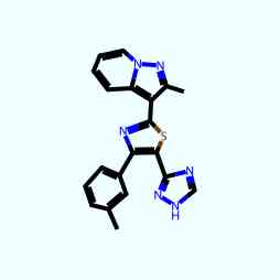 Cc1cccc(-c2nc(-c3c(C)nn4ccccc34)sc2-c2nc[nH]n2)c1